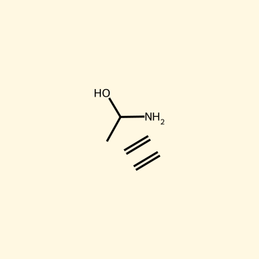 C=C.C=C.CC(N)O